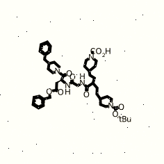 CC(C)(C)OC(=O)N1CCC(CCC(CCC2CCN(C(=O)O)CC2)C(=O)NCC(=O)N[C@@H](CC(=O)OCc2ccccc2)C(=O)N2CCC(Cc3ccccc3)CC2)CC1